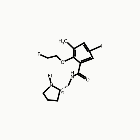 CCN1CCC[C@H]1CNC(=O)c1cc(I)cc(C)c1OCCF